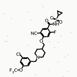 N#Cc1cc(C(=O)NS(=O)(=O)C2CC2)c(F)cc1OCC1CCN(Cc2cc(Cl)cc(OC(F)(F)F)c2)CC1